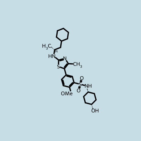 COc1ccc(-c2sc(N[C@H](C)CC3CCCCC3)nc2C)cc1S(=O)(=O)N[C@H]1CC[C@@H](O)CC1